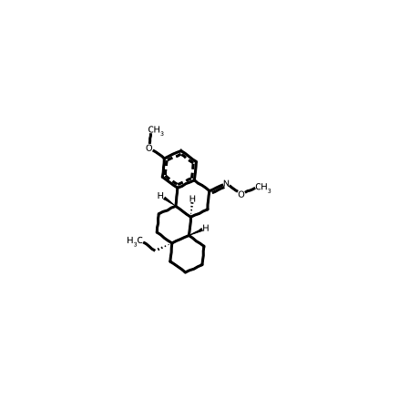 CC[C@@]12CCCC[C@H]1[C@@H]1C/C(=N\OC)c3c[c]c(OC)cc3[C@H]1CC2